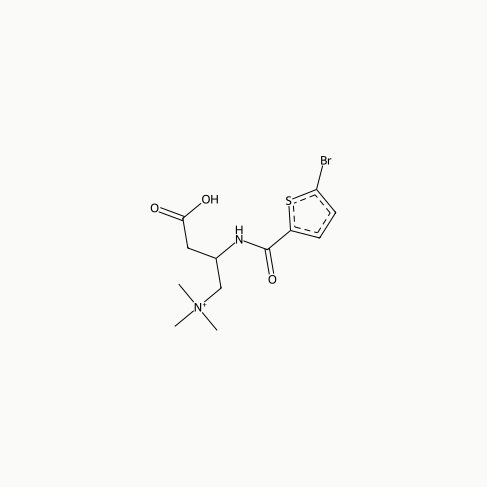 C[N+](C)(C)CC(CC(=O)O)NC(=O)c1ccc(Br)s1